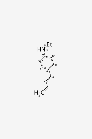 C=CC=Cc1ccc(NCC)cc1